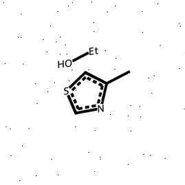 CCO.Cc1cscn1